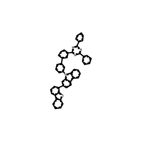 c1ccc(-c2nc(-c3ccccc3)nc(-c3cccc(-c4cccc(-n5c6ccccc6c6ccc(-c7cccc8c7sc7ccccc78)cc65)c4)c3)n2)cc1